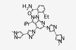 CCc1cccc(C(N)=O)c1-n1nc(C(C)C)c2c(-n3cnc(-c4cnn(C)c4)c3)cc(-n3cnc(-c4cnn(C)c4)c3)nc21